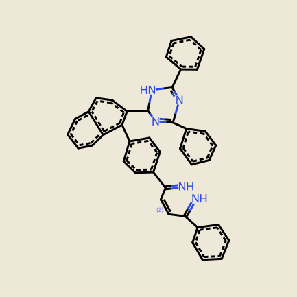 N=C(/C=C\C(=N)c1ccc(-c2c(C3N=C(c4ccccc4)N=C(c4ccccc4)N3)ccc3ccccc23)cc1)c1ccccc1